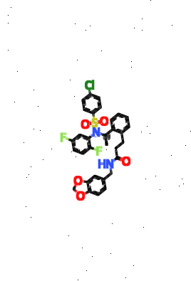 C[C@H](c1ccccc1CCC(=O)NCc1ccc2c(c1)OCO2)N(c1cc(F)ccc1F)S(=O)(=O)c1ccc(Cl)cc1